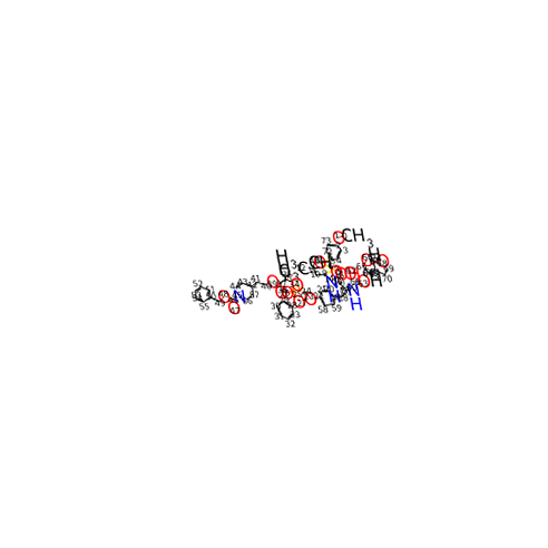 COc1ccc(S(=O)(=O)C(CC(C)C)N[C@@H](O)[C@H](Cc2ccc(OCP(=O)(Oc3ccccc3)OC(C)C(=O)OCCC3CCN(C(=O)OCc4ccccc4)CC3)cc2)NC(=O)O[C@H]2CO[C@H]3OCC[C@H]32)cc1